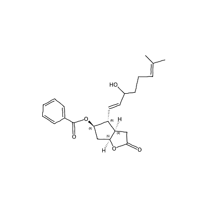 CC(C)=CCCC(O)C=C[C@@H]1[C@H]2CC(=O)O[C@H]2C[C@H]1OC(=O)c1ccccc1